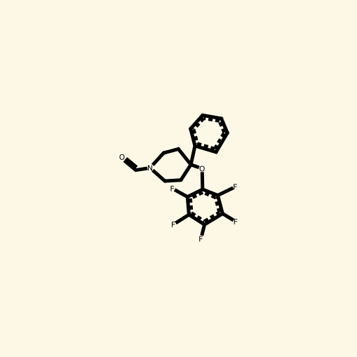 O=CN1CCC(Oc2c(F)c(F)c(F)c(F)c2F)(c2ccccc2)CC1